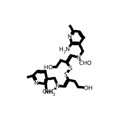 Cc1ccc(CN(C=O)/C=C(/CCO)SS/C(=C\N(C=O)Cc2ccc(C)nc2N)CCO)c(N)n1